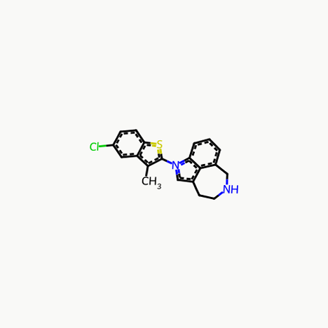 Cc1c(-n2cc3c4c(cccc42)CNCC3)sc2ccc(Cl)cc12